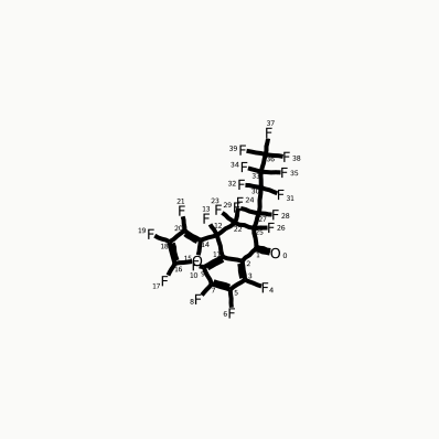 O=C1c2c(F)c(F)c(F)c(F)c2C(F)(c2oc(F)c(F)c2F)C(F)(F)C1(F)C(F)(F)C(F)(F)C(F)(F)C(F)(F)F